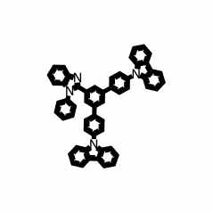 c1ccc(-n2c(-c3cc(-c4ccc(-n5c6ccccc6c6ccccc65)cc4)cc(-c4ccc(-n5c6ccccc6c6ccccc65)cc4)c3)nc3ccccc32)cc1